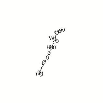 CCNCCCOCCOCCOCCCNC(=O)CCCC(=O)NCCCOC(C)(C)C